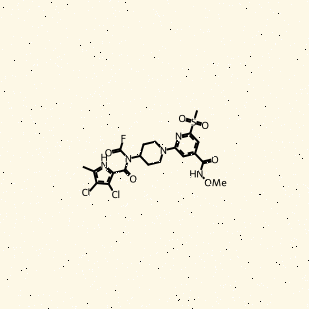 CONC(=O)c1cc(N2CCC(N(C(=O)F)C(=O)c3[nH]c(C)c(Cl)c3Cl)CC2)nc(S(C)(=O)=O)c1